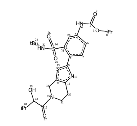 CC(C)OC(=O)Nc1ccc(-c2nc3c(s2)CN(C(=O)C(O)C(C)C)CC3)c(S(=O)(=O)NC(C)(C)C)c1